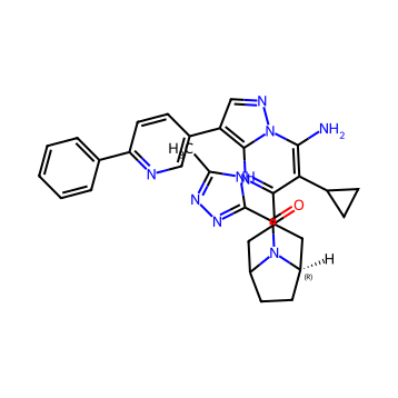 Cc1nnc(C(=O)N2C3CC[C@@H]2CC(c2nc4c(-c5ccc(-c6ccccc6)nc5)cnn4c(N)c2C2CC2)C3)[nH]1